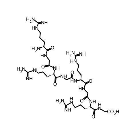 N=C(N)NCCC[C@H](NC(=O)CNC(=O)[C@H](CCCNC(=N)N)NC(=O)CNC(=O)[C@H](CCCNC(=N)N)NC(=O)CNC(=O)[C@@H](N)CCCNC(=N)N)C(=O)NCC(=O)O